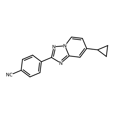 N#Cc1ccc(-c2nc3cc(C4CC4)ccn3n2)cc1